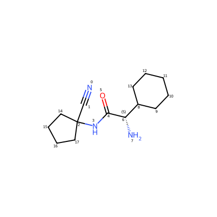 N#CC1(NC(=O)[C@@H](N)C2CCCCC2)CCCC1